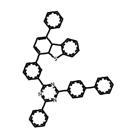 C1=C(c2cccc(-c3nc(-c4ccccc4)nc(-c4ccc(-c5ccccc5)cc4)n3)c2)C2Sc3ccccc3C2C(c2ccccc2)=C1